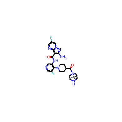 Nc1nn2cc(F)cnc2c1C(=O)Nc1cncc(F)c1N1CCC(C(=O)N2CCC3CCC2CN3)CC1